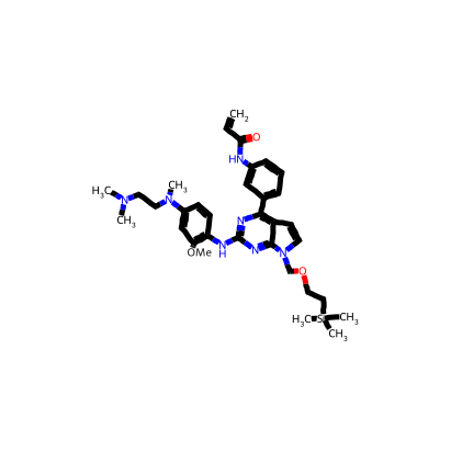 C=CC(=O)Nc1cccc(-c2nc(Nc3ccc(N(C)CCN(C)C)cc3OC)nc3c2ccn3COCC[Si](C)(C)C)c1